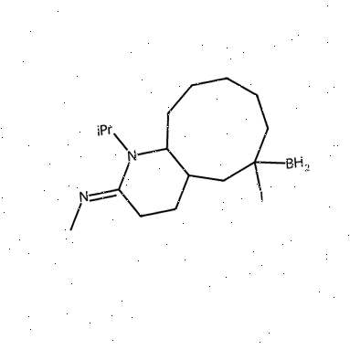 BC1(I)CCCCCC2C(CC/C(=N\C)N2C(C)C)C1